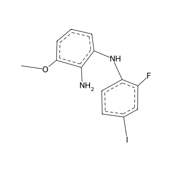 COc1cccc(Nc2ccc(I)cc2F)c1N